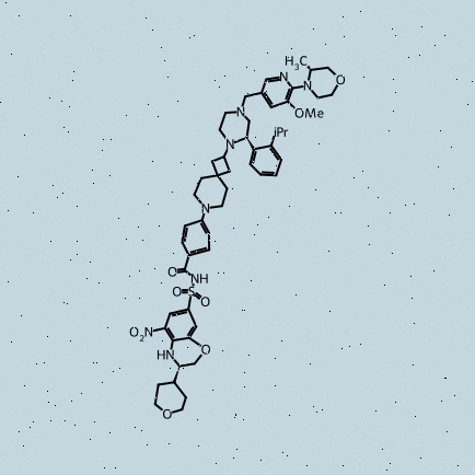 COc1cc(CN2CCN(C3CC4(CCN(c5ccc(C(=O)NS(=O)(=O)c6cc7c(c([N+](=O)[O-])c6)N[C@H](C6CCOCC6)CO7)cc5)CC4)C3)[C@H](c3ccccc3C(C)C)C2)cnc1N1CCOC[C@@H]1C